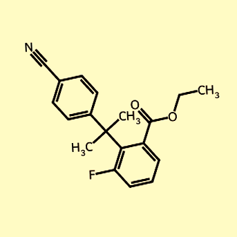 CCOC(=O)c1cccc(F)c1C(C)(C)c1ccc(C#N)cc1